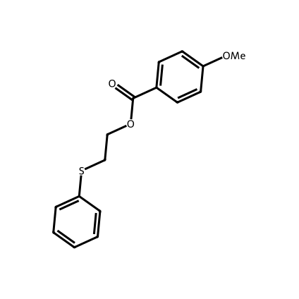 COc1ccc(C(=O)OCCSc2ccccc2)cc1